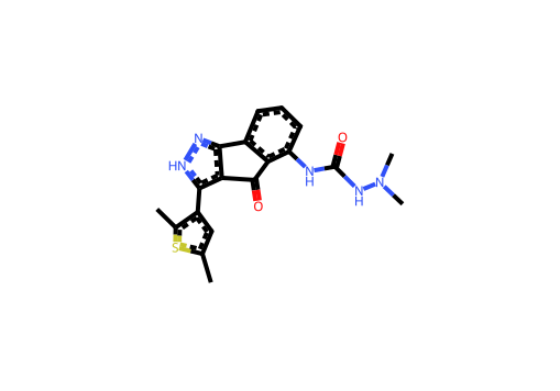 Cc1cc(-c2[nH]nc3c2C(=O)c2c(NC(=O)NN(C)C)cccc2-3)c(C)s1